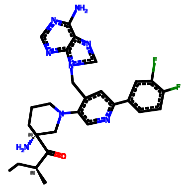 CC[C@H](C)C(=O)[C@@]1(N)CCCN(c2cnc(-c3ccc(F)c(F)c3)cc2Cn2cnc3c(N)ncnc32)C1